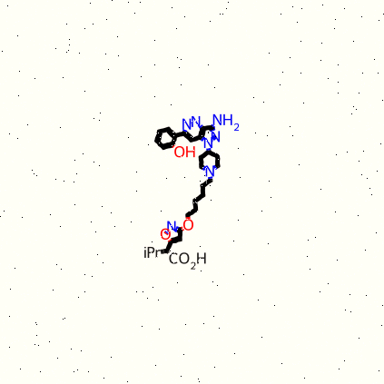 CC(C)C(C(=O)O)c1cc(OCCCCCCN2CCC(n3nc(N)c4nnc(-c5ccccc5O)cc43)CC2)no1